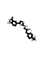 Cc1n[nH]c2ccc(-c3cnc(NCC(N)Cc4ccc(C(F)(F)F)cc4)o3)cc12